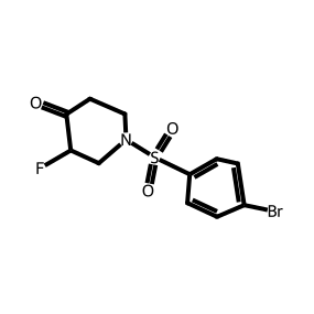 O=C1CCN(S(=O)(=O)c2ccc(Br)cc2)CC1F